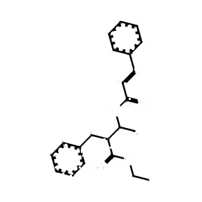 CCOC(=O)C(Cc1ccccc1)C(C)OC(=O)C=Cc1ccccc1